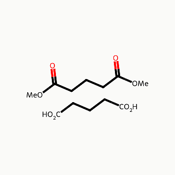 COC(=O)CCCC(=O)OC.O=C(O)CCCC(=O)O